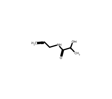 C=CCNC(=O)C(C)O